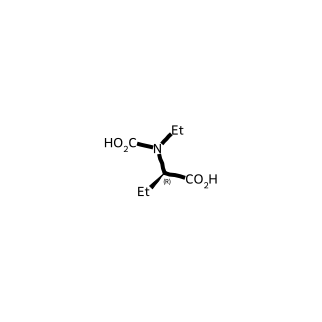 CC[C@H](C(=O)O)N(CC)C(=O)O